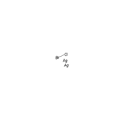 ClBr.[Ag].[Ag]